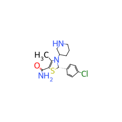 CC1=C(C(N)=O)S[C@@H](c2ccc(Cl)cc2)N1C1CCCNC1